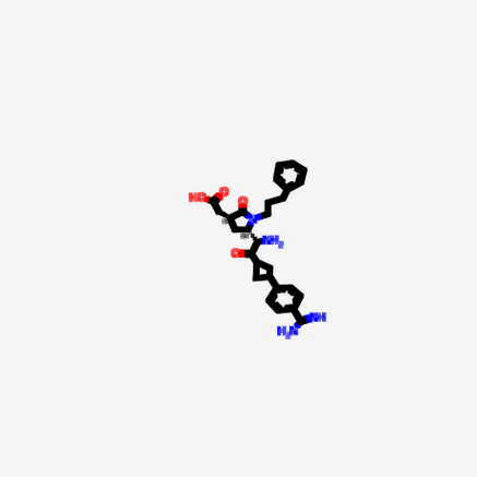 N=C(N)c1ccc(C2CC(C(=O)C(N)[C@@H]3C[C@@H](CC(=O)O)C(=O)N3CCCc3ccccc3)C2)cc1